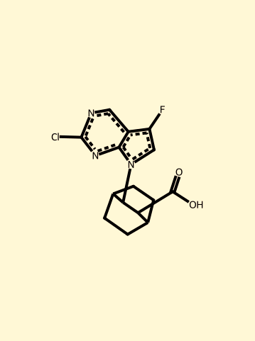 O=C(O)C1C2CCC(CC2)C1n1cc(F)c2cnc(Cl)nc21